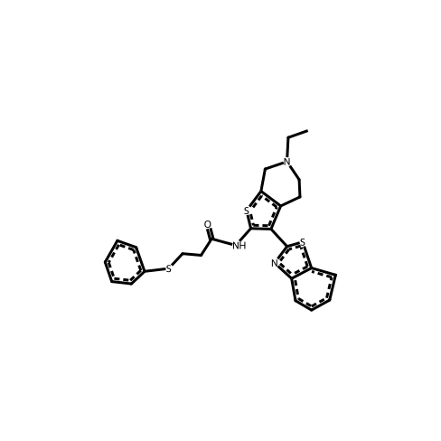 CCN1CCc2c(sc(NC(=O)CCSc3ccccc3)c2-c2nc3ccccc3s2)C1